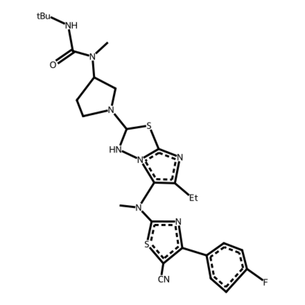 CCc1nc2n(c1N(C)c1nc(-c3ccc(F)cc3)c(C#N)s1)NC(N1CCC(N(C)C(=O)NC(C)(C)C)C1)S2